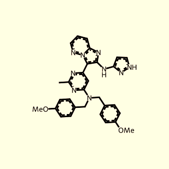 COc1ccc(CN(Cc2ccc(OC)cc2)c2cc(-c3c(Nc4cc[nH]n4)nc4cccnn34)nc(C)n2)cc1